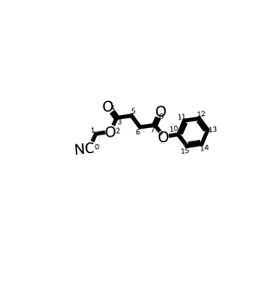 N#CCOC(=O)CCC(=O)Oc1ccccc1